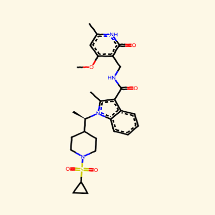 COc1cc(C)[nH]c(=O)c1CNC(=O)c1c(C)n([C@H](C)C2CCN(S(=O)(=O)C3CC3)CC2)c2ccccc12